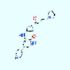 O=C(C=CCN1CCCC1)N1CC(Nc2cc(-c3ccncc3)c[nH]c2=O)C1